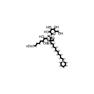 CCCCCCCCCCCCCC[C@@H](O)[C@@H](O)[C@H](COC1OC(CO)C(O)C(O)C1O)NC1(CCCCCCCCCCN2CCCCC2)COC1